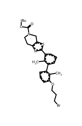 Cc1c(OCCCBr)cccc1-c1cccc(-c2nc3c(s2)CN(C(=O)OC(C)(C)C)CC3)c1C